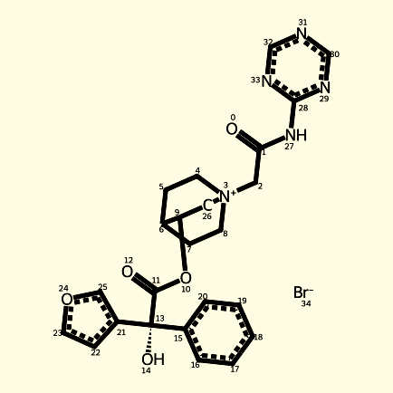 O=C(C[N+]12CCC(CC1)C(OC(=O)[C@@](O)(c1ccccc1)c1ccoc1)C2)Nc1ncncn1.[Br-]